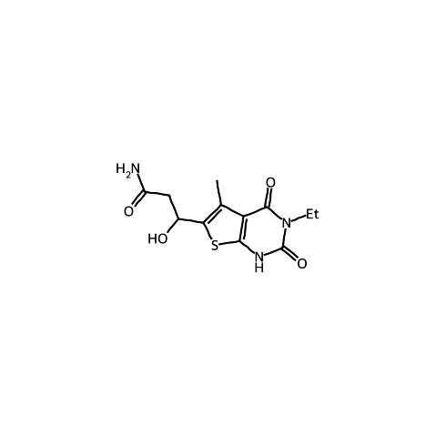 CCn1c(=O)[nH]c2sc(C(O)CC(N)=O)c(C)c2c1=O